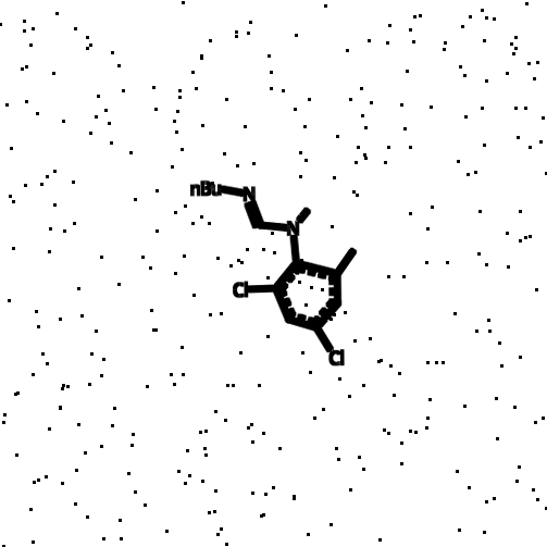 CCCCN=CN(C)c1c(C)cc(Cl)cc1Cl